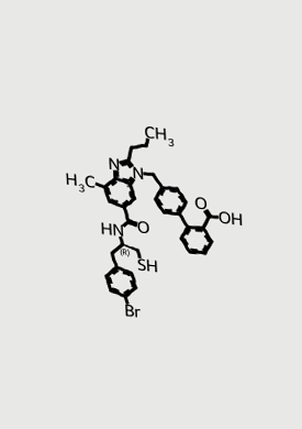 CCCc1nc2c(C)cc(C(=O)N[C@@H](CS)Cc3ccc(Br)cc3)cc2n1Cc1ccc(-c2ccccc2C(=O)O)cc1